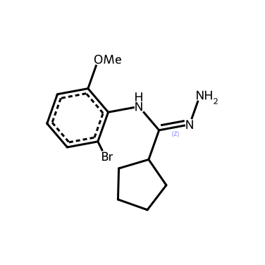 COc1cccc(Br)c1N/C(=N\N)C1CCCC1